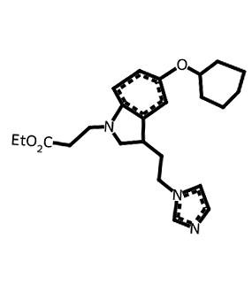 CCOC(=O)CCN1CC(CCn2ccnc2)c2cc(OC3CCCCC3)ccc21